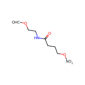 O=COCCNC(=O)CCCO[N+](=O)[O-]